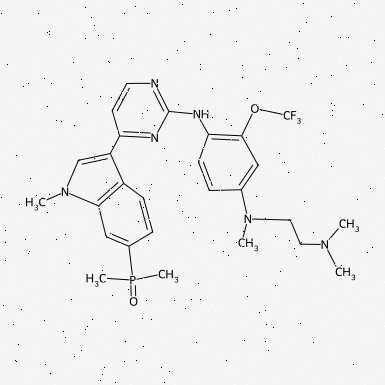 CN(C)CCN(C)c1ccc(Nc2nccc(-c3cn(C)c4cc(P(C)(C)=O)ccc34)n2)c(OC(F)(F)F)c1